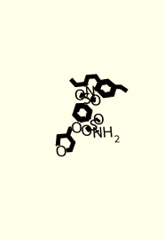 CCc1ccc2c(c1)CCC(CC)N2S(=O)(=O)c1ccc(OCC2CCOCC2)c(S(N)(=O)=O)c1